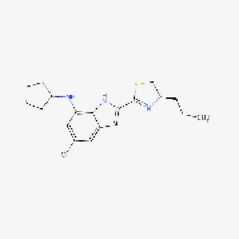 O=C(O)CC[C@@H]1CSC(c2cc3cc(Cl)cc(NC4CCCC4)c3[nH]2)=N1